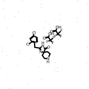 O=C(O)C(F)(F)F.O=C(O)C(F)(F)F.O=C1NC(Cc2ccc(Cl)cc2Cl)=NC12CCNCC2